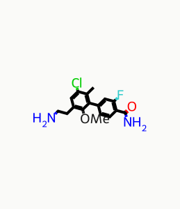 COc1c(CCN)cc(Cl)c(C)c1-c1ccc(C(N)=O)c(F)c1